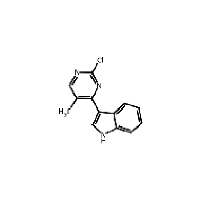 Cc1cnc(Cl)nc1-c1c[nH]c2ccccc12